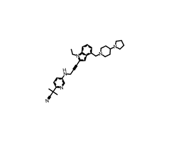 CCn1c(C#CCNc2ccc(C(C)(C)C#N)nc2)cc2c(CN3CCC(N4CCCC4)CC3)cccc21